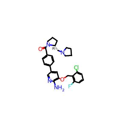 Nc1ncc(-c2ccc(C(=O)N3CCC[C@@H]3CN3CCCC3)cc2)cc1OCc1c(F)cccc1Cl